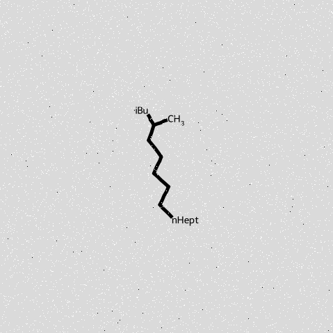 CCCCCCCCCCCCC(C)[C](C)CC